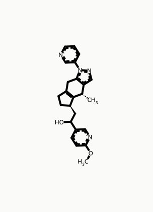 COc1ccc(C(O)C[C@H]2CCC3=C2[C@@H](C)c2cnn(-c4cccnc4)c2C3)cn1